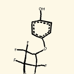 Oc1ccc(OC2C(F)(F)C(F)(F)C2(F)F)cc1